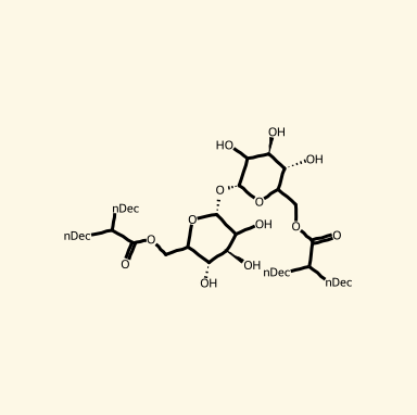 CCCCCCCCCCC(CCCCCCCCCC)C(=O)OCC1O[C@H](O[C@H]2OC(COC(=O)C(CCCCCCCCCC)CCCCCCCCCC)[C@@H](O)[C@H](O)C2O)C(O)[C@@H](O)[C@@H]1O